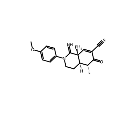 COc1ccc(N2CC[C@@H]3[C@@H](C)C(=O)C(C#N)=C[C@@]3(P)C2=N)cc1